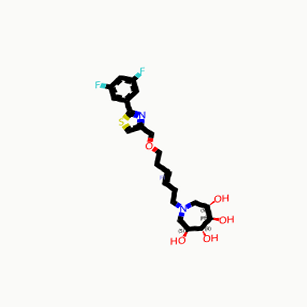 O[C@H]1[C@H](O)[C@@H](O)CN(CC/C=C/CCOCc2csc(-c3cc(F)cc(F)c3)n2)C[C@@H]1O